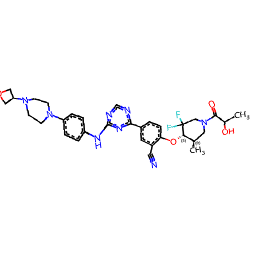 CC(O)C(=O)N1C[C@@H](C)[C@H](Oc2ccc(-c3ncnc(Nc4ccc(N5CCN(C6COC6)CC5)cc4)n3)cc2C#N)C(F)(F)C1